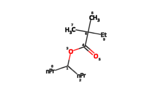 CCCC(CCC)OC(=O)C(C)(C)CC